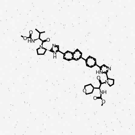 COC(=O)N[C@H](C(=O)N1CCC[C@H]1c1ncc(-c2ccc3cc(-c4ccc(-c5cnc(C6CCCN6C(=O)[C@@H](NC(=O)OC)C6CCOCC6)[nH]5)cc4)ccc3c2)[nH]1)C(C)C